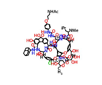 CN[C@H](CC(C)C)C(=O)N[C@H]1C(=O)N[C@@H](CC(=O)NC(=O)Nc2ccc(OCCCNC(C)=O)cc2)C(=O)N[C@H]2C(=O)N[C@H]3C(=O)N[C@H](C(=O)N[C@H](C(=O)NC4C5CC6CC(C5)CC4C6)c4cc(O)cc5c4-c4cc3ccc4C5(O)O)[C@H](O)c3ccc(c(Cl)c3)Oc3cc2cc2c3O[C@@H]3O[C@H](C(O)c4cc(ccc4O2)[C@H]1O)[C@@H](O)[C@H](O)[C@H]3O[C@H]1C[C@](C)(N)[C@H](O)[C@H](C)O1